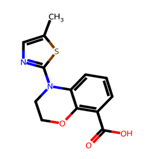 Cc1cnc(N2CCOc3c(C(=O)O)cccc32)s1